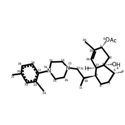 CC(=O)O[C@@H]1[CH][C@@]2(O)[C@H](C)CC[C@@H](C(C)CN3CCN(c4ccc(C)cc4C)CC3)[C@H]2C=C1C